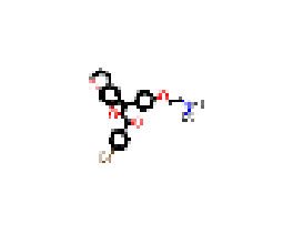 CCN(CC)CCOc1ccc(-c2c(C(=O)c3ccc(Br)cc3)oc3cc4c(cc23)CC=CO4)cc1